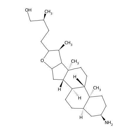 C[C@H](CO)CCC1OC2C[C@H]3[C@@H]4CC[C@@H]5C[C@H](N)CC[C@]5(C)[C@H]4CC[C@]3(C)C2[C@@H]1C